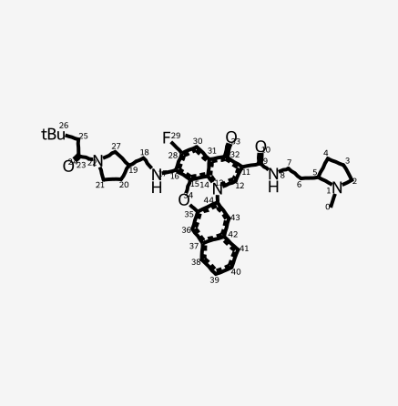 CN1CCCC1CCNC(=O)c1cn2c3c(c(NCC4CCN(C(=O)CC(C)(C)C)C4)c(F)cc3c1=O)Oc1cc3ccccc3cc1-2